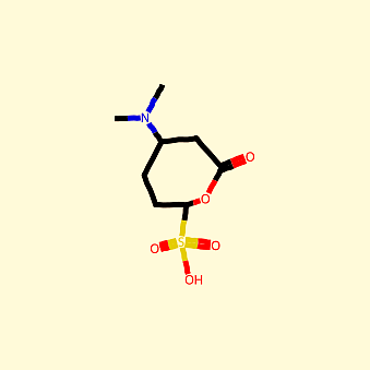 CN(C)C1CCC(S(=O)(=O)O)OC(=O)C1